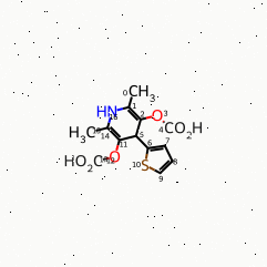 CC1=C(OC(=O)O)C(c2cccs2)C(OC(=O)O)=C(C)N1